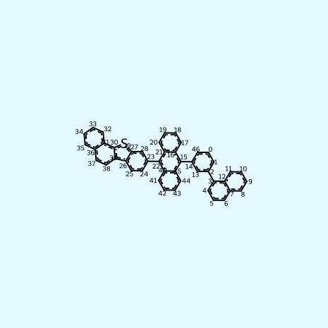 c1cc(-c2cccc3ccccc23)cc(-c2c3ccccc3c(-c3ccc4c(c3)sc3c5ccccc5ccc43)c3ccccc23)c1